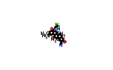 CC1(C)CCC2(C(=O)NCC(F)(F)F)CCC3C(C(=O)CC4C5(C)C=C(C#N)C(=O)CC5CCC34C)C2C1